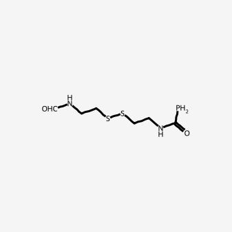 O=CNCCSSCCNC(=O)P